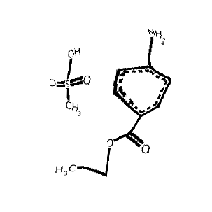 CCOC(=O)c1ccc(N)cc1.CS(=O)(=O)O